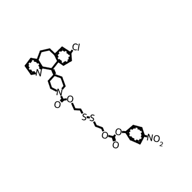 O=C(OCCSSCCOC(=O)N1CCC(=C2c3ccc(Cl)cc3CCc3cccnc32)CC1)Oc1ccc([N+](=O)[O-])cc1